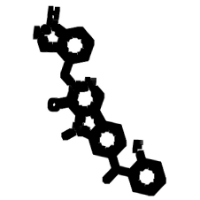 CC(c1ccc2c3cnn(Cc4cccc5[nH]ncc45)c(=O)c3n(C)c2c1)c1ccccc1F